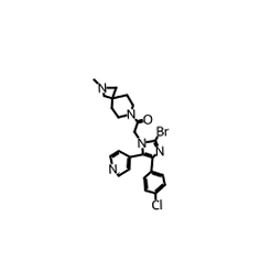 CN1CC2(CCN(C(=O)Cn3c(Br)nc(-c4ccc(Cl)cc4)c3-c3ccncc3)CC2)C1